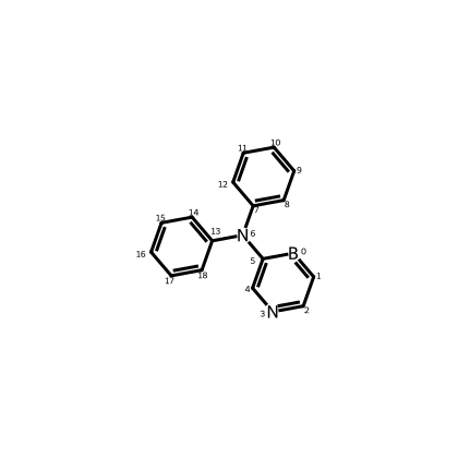 b1ccncc1N(c1ccccc1)c1ccccc1